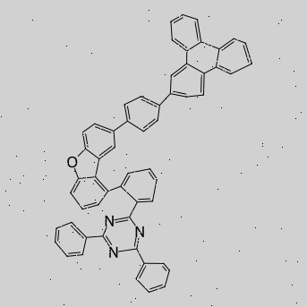 c1ccc(-c2nc(-c3ccccc3)nc(-c3ccccc3-c3cccc4oc5ccc(-c6ccc(-c7ccc8c9ccccc9c9ccccc9c8c7)cc6)cc5c34)n2)cc1